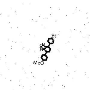 CCc1ccc(-c2ccc(-c3ccc(OC)cc3)c3nsnc23)cc1